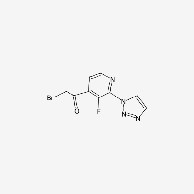 O=C(CBr)c1ccnc(-n2ccnn2)c1F